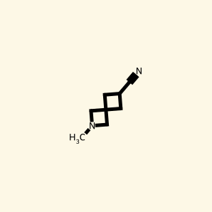 CN1CC2(CC(C#N)C2)C1